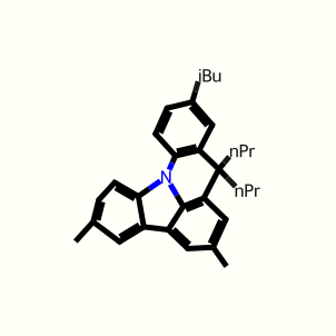 CCCC1(CCC)c2cc(C(C)CC)ccc2-n2c3ccc(C)cc3c3cc(C)cc1c32